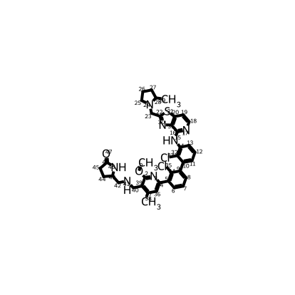 COc1nc(-c2cccc(-c3cccc(Nc4nccc5sc(CN6CCCC6C)nc45)c3Cl)c2Cl)cc(C)c1CNCC1CCC(=O)N1